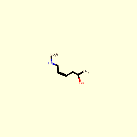 CC(O)C/C=C\CNC(=O)O